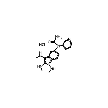 CNc1c(NC)n(NC)c2ccc(N(C(N)=O)c3cccnc3)cc12.Cl